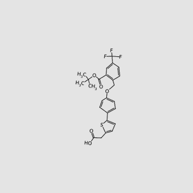 CC(C)(C)OC(=O)c1cc(C(F)(F)F)ccc1COc1ccc(-c2ccc(CC(=O)O)s2)cc1